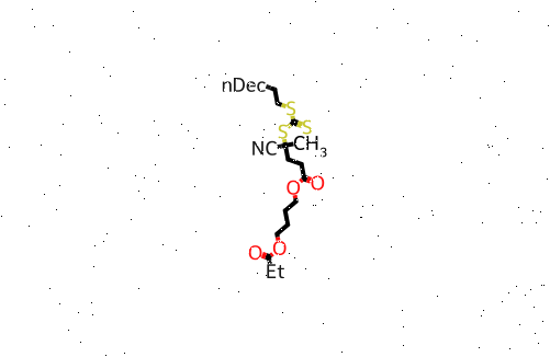 CCCCCCCCCCCCSC(=S)SC(C)(C#N)CCC(=O)OCCCCOC(=O)CC